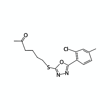 CC(=O)CCCCSc1nnc(-c2ccc(C)cc2Cl)o1